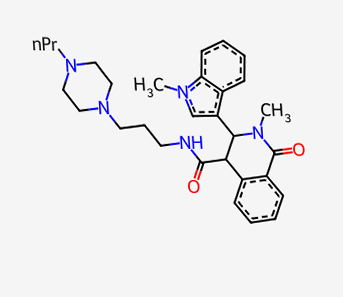 CCCN1CCN(CCCNC(=O)C2c3ccccc3C(=O)N(C)C2c2cn(C)c3ccccc23)CC1